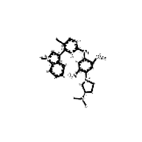 COc1cc(N2CC[C@@H](N(C)C)C2)c([N+](=O)[O-])cc1Nc1ncc(C)c(-c2cn(C)c3ccccc23)n1